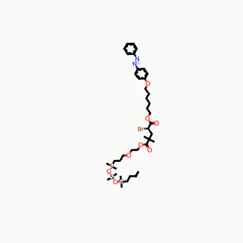 CCCC[Si](C)(C)O[Si](C)(C)O[Si](C)(C)CCCOCCOC(=O)C(C)(C)CC(Br)C(=O)OCCCCCCOc1ccc(/N=N/c2ccccc2)cc1